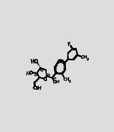 CC1=CC(c2ccc([C@@H](O)[C@@H]3C[C@@H](O)[C@H](O)C(CO)O3)c(C)c2)CC(F)=C1